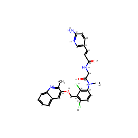 Cc1nc2ccccc2cc1OCc1c(Cl)ccc(N(C)C(=O)CNC(=O)/C=C/c2ccc(N)nc2)c1Cl